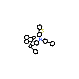 c1ccc(-c2ccc(N(c3ccc4c(c3)C3(c5ccccc5-c5cccc6cccc3c56)c3cccc(-c5ccccc5)c3-4)c3ccc4c(c3)sc3ccccc34)cc2)cc1